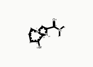 CN(C)C(=O)c1cn2cccc(Br)c2n1